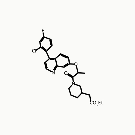 CCOC(=O)CC1CCCN(C(=O)C(C)Oc2ccc3c(-c4ccc(F)cc4Cl)ccnc3c2)C1